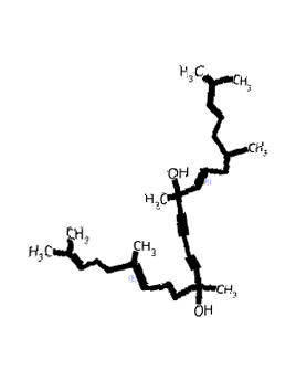 CC(C)=CCC/C(C)=C/CCC(C)(O)C#CC#CC(C)(O)/C=C/CC(C)CCCC(C)C